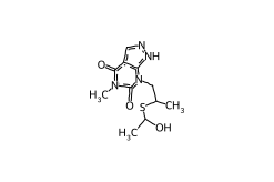 CC(O)SC(C)Cn1c(=O)n(C)c(=O)c2cn[nH]c21